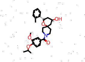 COc1cc(C(=O)N2CCC3(CC2)C[C@H](O)C[C@@H](c2ccccc2C)O3)ccc1OC(C)C